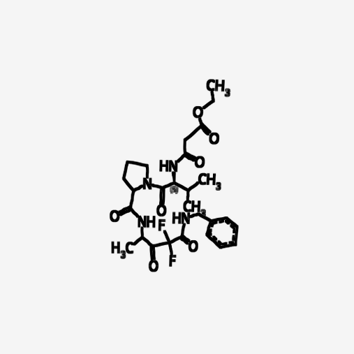 CCOC(=O)CC(=O)N[C@H](C(=O)N1CCCC1C(=O)NC(C)C(=O)C(F)(F)C(=O)NCc1ccccc1)C(C)C